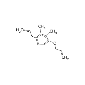 C=CCOc1ccc(CC=C)c(C)c1C